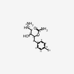 NNCC(O)C(Cc1ccc(I)cc1)OC(N)=O